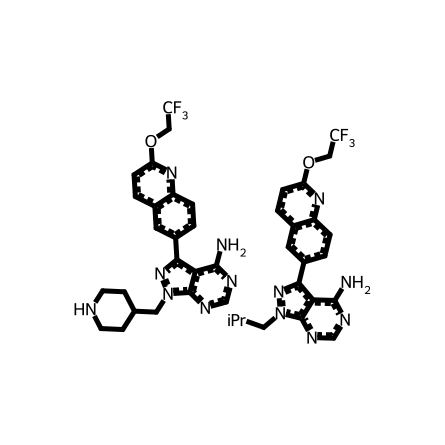 CC(C)Cn1nc(-c2ccc3nc(OCC(F)(F)F)ccc3c2)c2c(N)ncnc21.Nc1ncnc2c1c(-c1ccc3nc(OCC(F)(F)F)ccc3c1)nn2CC1CCNCC1